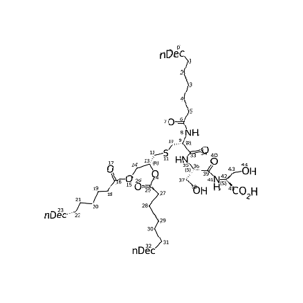 CCCCCCCCCCCCCCCC(=O)N[C@@H](CSC[C@@H](COC(=O)CCCCCCCCCCCCCCC)OC(=O)CCCCCCCCCCCCCCC)C(=O)N[C@@H](CO)C(=O)N[C@@H](CO)C(=O)O